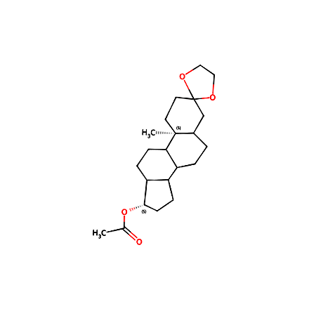 CC(=O)O[C@H]1CCC2C3CCC4CC5(CC[C@]4(C)C3CCC21)OCCO5